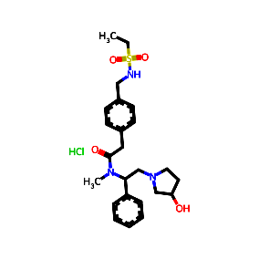 CCS(=O)(=O)NCc1ccc(CC(=O)N(C)C(CN2CCC(O)C2)c2ccccc2)cc1.Cl